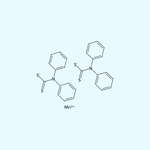 S=C([S-])N(c1ccccc1)c1ccccc1.S=C([S-])N(c1ccccc1)c1ccccc1.[Mn+2]